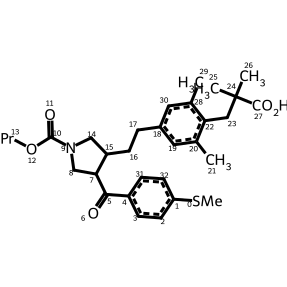 CSc1ccc(C(=O)C2CN(C(=O)OC(C)C)CC2CCc2cc(C)c(CC(C)(C)C(=O)O)c(C)c2)cc1